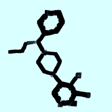 CCC[C@H](c1cccnc1)N1CCN(c2cn[nH]c(=O)c2Cl)CC1